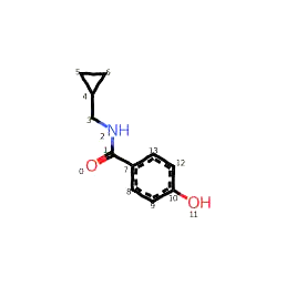 O=C(NCC1CC1)c1ccc(O)cc1